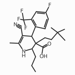 CCCC1NC(C)=C(C#N)C(c2ccc(F)cc2C(F)(F)F)C1(CCC(C)(C)C)C(=O)O